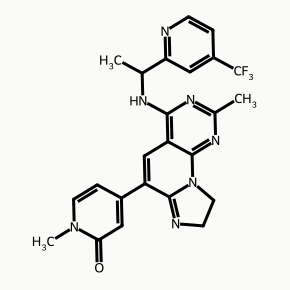 Cc1nc(NC(C)c2cc(C(F)(F)F)ccn2)c2c(n1)N1CCN=C1C(c1ccn(C)c(=O)c1)=C2